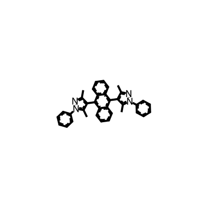 Cc1nn(-c2ccccc2)c(C)c1-c1c2ccccc2c(-c2c(C)nn(-c3ccccc3)c2C)c2ccccc12